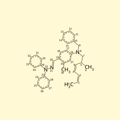 C/C=C\C=C/C(C)CN(Cc1ccccc1)c1ccc(/C=N/N(c2ccccc2)c2ccccc2)c(C)c1